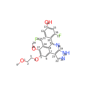 COCCOc1cc2c(c(-c3ccc(O)cc3F)nc3[nH]ncc32)c(CF)c1OC